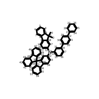 CC1(C)c2ccccc2-c2ccc(N(c3cccc(-c4ccc(-c5ccccc5)cc4)c3)c3ccc4c(c3)C3(c5ccccc5-c5ccccc53)c3ccccc3-4)cc21